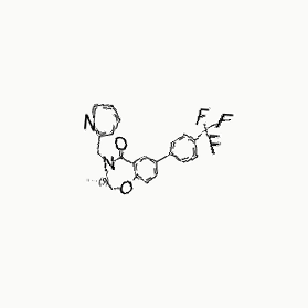 C[C@H]1COc2ccc(-c3ccc(C(F)(F)F)cc3)cc2C(=O)N1Cc1ccccn1